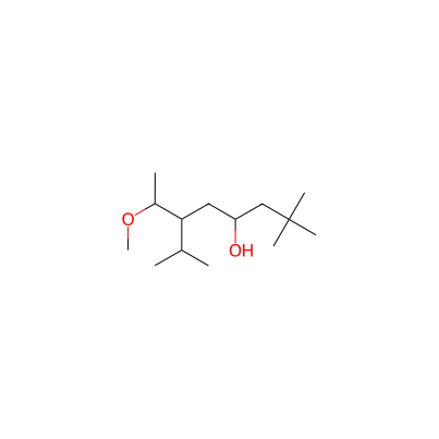 COC(C)C(CC(O)CC(C)(C)C)C(C)C